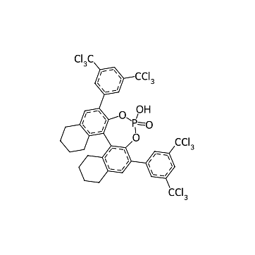 O=P1(O)Oc2c(-c3cc(C(Cl)(Cl)Cl)cc(C(Cl)(Cl)Cl)c3)cc3c(c2-c2c4c(cc(-c5cc(C(Cl)(Cl)Cl)cc(C(Cl)(Cl)Cl)c5)c2O1)CCCC4)CCCC3